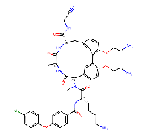 C[C@@H]1NC(=O)[C@@H](N(C)C(=O)[C@H](CCCCN)NC(=O)c2ccc(Oc3ccc(Cl)cc3)cc2)c2ccc(OCCN)c(c2)-c2cc(ccc2OCCN)C[C@@H](C(=O)NCC#N)NC1=O